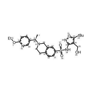 CCOc1ccc([C@@H](C)N2CCc3ccc(S(=O)(=O)Nc4noc(C(C)(C)C)c4CO)cc3C2)cn1